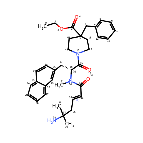 CCOC(=O)C1(Cc2ccccc2)CCN(C(=O)[C@@H](Cc2ccc3ccccc3c2)N(C)C(=O)/C=C/CC(C)(C)N)CC1